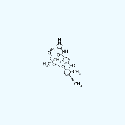 CC#Cc1ccc(OCCOC(C)(C)CCOC(C)C)c(C(=O)c2ccc(C(=O)N[C@H]3CCNC3)cc2)c1C